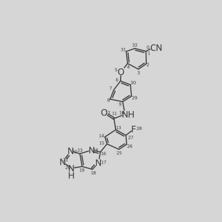 N#Cc1ccc(Oc2ccc(NC(=O)c3cc(-c4ncc5[nH]nnc5n4)ccc3F)cc2)cc1